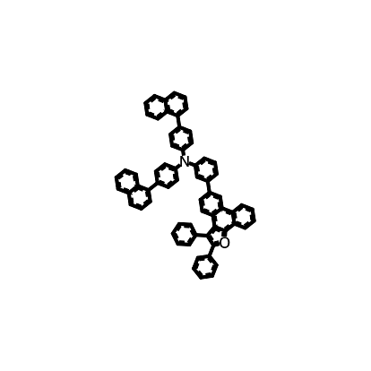 c1ccc(-c2oc3c4ccccc4c4cc(-c5cccc(N(c6ccc(-c7cccc8ccccc78)cc6)c6ccc(-c7cccc8ccccc78)cc6)c5)ccc4c3c2-c2ccccc2)cc1